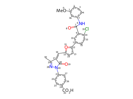 COc1cccc(NC(=O)c2cc(-c3ccc(/C=C4\C(=O)N(c5ccc(C(=O)O)cc5)N=C4C)o3)ccc2Cl)c1